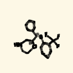 FC(F)(F)c1ccccc1O[C@@H](c1ccccc1)[C@@H]1CNCCO1